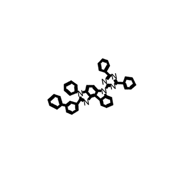 c1ccc(-c2cccc(-c3nc4c5c6ccccc6n(-c6nc(-c7ccccc7)nc(-c7ccccc7)n6)c5ccc4n3-c3ccccc3)c2)cc1